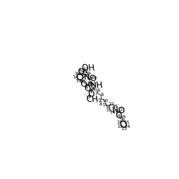 CCOC(=O)[C@@H](CCCCCCC1CCN(C(=O)OCc2ccccc2)CC1)N[C@H]1COc2ccccc2N(CC(=O)O)C1=O